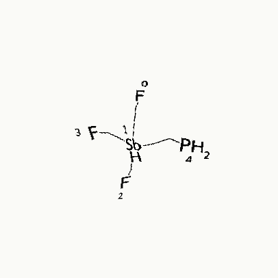 [F][SbH]([F])([F])[PH2]